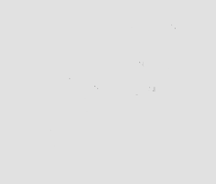 O=C(C(O)c1cccc(-c2cccc(F)c2)c1)N1CCCc2nc(C3(c4cncc(C5CCCCC5)c4)CC3)[nH]c(=O)c2C1